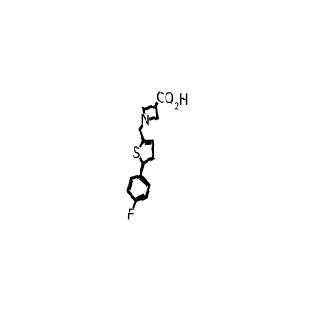 O=C(O)C1CN(CC2=CCC(c3ccc(F)cc3)S2)C1